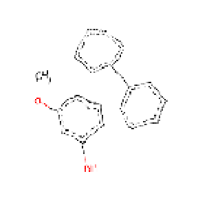 COc1cccc(O)c1.c1ccc(-c2ccccc2)cc1